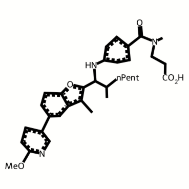 CCCCCC(C)C(Nc1ccc(C(=O)N(C)CCC(=O)O)cc1)c1oc2ccc(-c3ccc(OC)nc3)cc2c1C